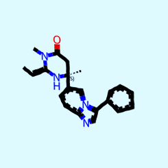 CC=C1N[C@](C)(c2ccc3ncc(-c4ccccc4)n3c2)CC(=O)N1C